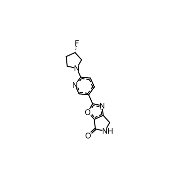 O=C1NCc2nc(-c3ccc(N4CC[C@H](F)C4)nc3)oc21